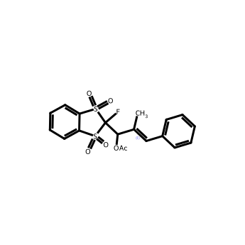 CC(=O)OC(/C(C)=C/c1ccccc1)C1(F)S(=O)(=O)c2ccccc2S1(=O)=O